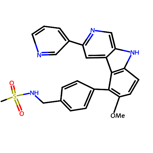 COc1ccc2[nH]c3cnc(-c4cccnc4)cc3c2c1-c1ccc(CNS(C)(=O)=O)cc1